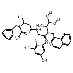 CCOC(OCC)[C@H](C)N(Cc1cccc2cccnc12)C(=O)[C@H](Cc1c(C)cc(O)cc1C)NC(=O)CN(C)N(Cc1ccccc1)C(N)=O